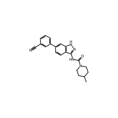 CC1CCN(C(=O)Nc2n[nH]c3cc(-c4cccc(C#N)c4)ccc23)CC1